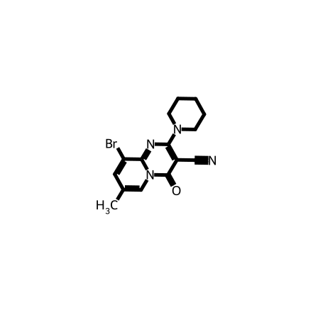 Cc1cc(Br)c2nc(N3CCCCC3)c(C#N)c(=O)n2c1